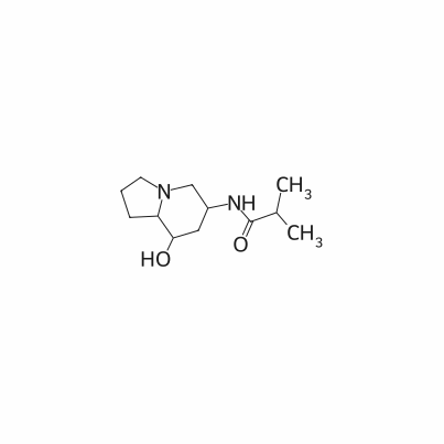 CC(C)C(=O)NC1CC(O)C2CCCN2C1